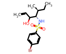 C=CC(O)[C@@H](NS(=O)(=O)c1ccc(Br)cc1)[C@@H](C)CC